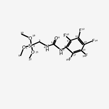 CO[Si](CNC(=O)Nc1c(F)c(F)c(F)c(F)c1F)(OC)OC